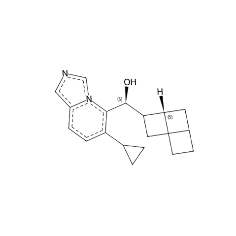 O[C@H](c1c(C2CC2)ccc2cncn12)C1CC23CCC2C[C@@H]13